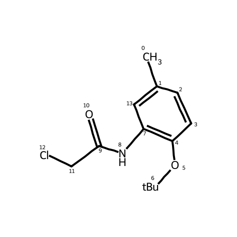 Cc1ccc(OC(C)(C)C)c(NC(=O)CCl)c1